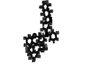 c1ccc(N(c2ccc3c(c2)Oc2ccccc2C32c3ccccc3-c3cccc4cccc2c34)c2ccc3c(c2)sc2cc4ccccc4cc23)cc1